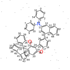 c1ccc(N(c2ccccc2)c2cc(-c3ccc4oc5ccc6c(c5c4c3)Oc3ccccc3C63c4ccccc4-c4ccccc43)c3ccccc3c2)cc1